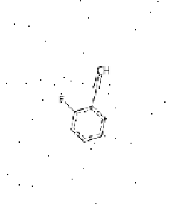 C#Cc1c[c]ccc1F